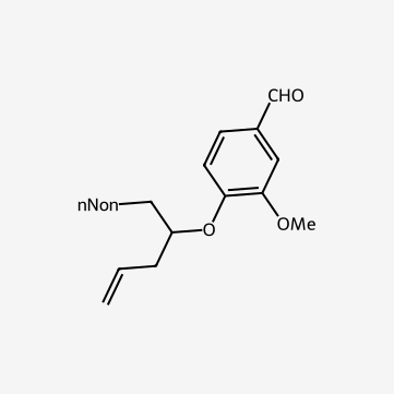 C=CCC(CCCCCCCCCC)Oc1ccc(C=O)cc1OC